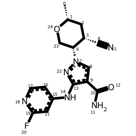 C[C@@H]1C[C@H](C#N)[C@H](n2cc(C(N)=O)c(Nc3ccnc(F)c3)n2)CO1